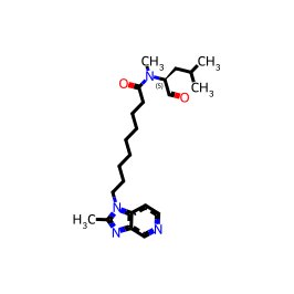 Cc1nc2cnccc2n1CCCCCCCCC(=O)N(C)[C@H](C=O)CC(C)C